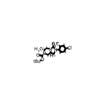 C[C@@H]1CN2C(=O)N(c3ccc(Cl)cc3C(F)(F)F)C[C@@H]2CN1C(=O)OC(C)(C)C